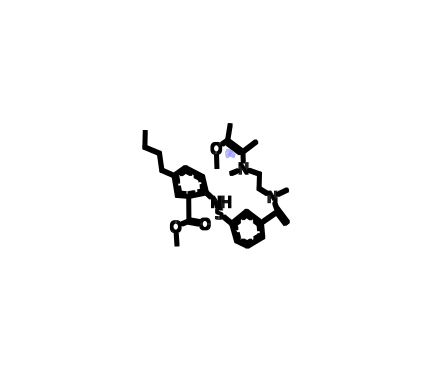 C=C(c1cccc(SNc2ccc(CCCC)cc2C(=O)OC)c1)N(C)CCN(C)/C(C)=C(/C)OC